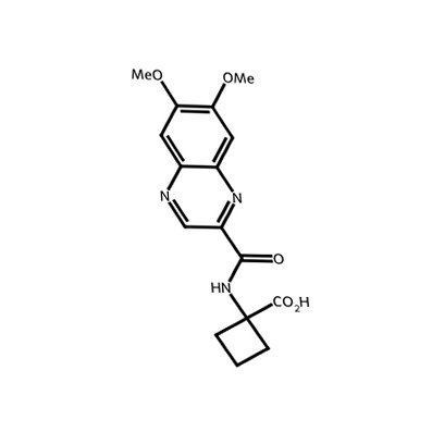 COc1cc2ncc(C(=O)NC3(C(=O)O)CCC3)nc2cc1OC